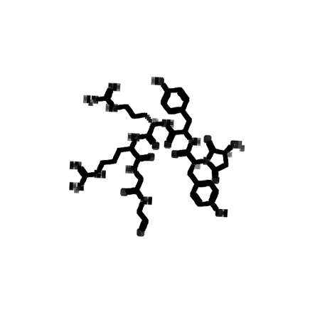 C[C@H]1CC(=O)N([C@@H](Cc2ccc(O)cc2)C(=O)NC(Cc2ccc(O)cc2)C(=O)N[C@@H](CCCNC(=N)N)C(=O)NC(CCCNC(=N)N)C(=O)NCC(=O)NCC=O)C1=O